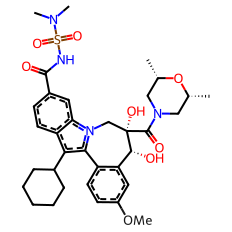 COc1ccc2c(c1)[C@@H](O)[C@](O)(C(=O)N1C[C@@H](C)O[C@@H](C)C1)Cn1c-2c(C2CCCCC2)c2ccc(C(=O)NS(=O)(=O)N(C)C)cc21